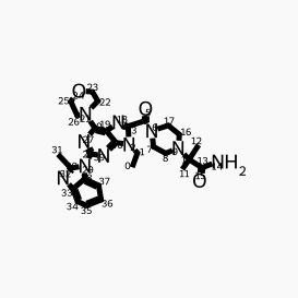 CCn1c(C(=O)N2CCN(C(C)(C)C(N)=O)CC2)nc2c(N3CCOCC3)nc(-n3c(C)nc4ccccc43)nc21